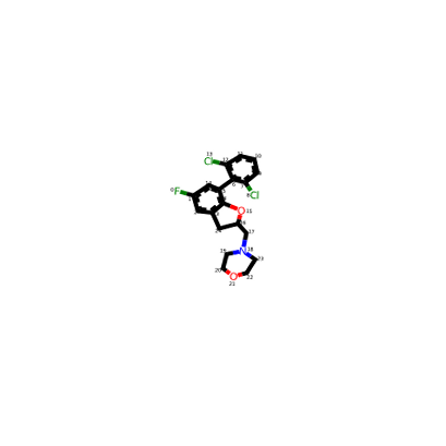 Fc1cc2c(c(-c3c(Cl)cccc3Cl)c1)OC(CN1CCOCC1)C2